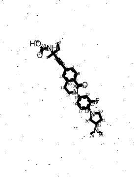 CCC(C)(C#Cc1ccc2c(c1)CCN(c1ccc(N3CC[C@@H](N(C)C)C3)c(F)c1)C2=O)NC(=O)O